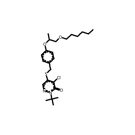 CCCCCCOCC(C)Oc1ccc(CSc2cnn(C(C)(C)C)c(=O)c2Cl)cc1